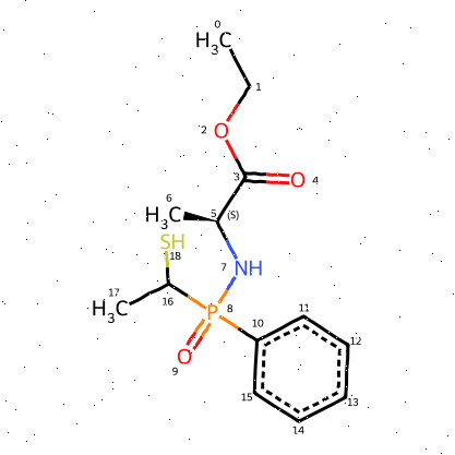 CCOC(=O)[C@H](C)NP(=O)(c1ccccc1)C(C)S